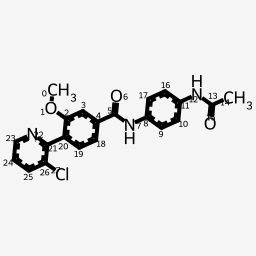 COc1cc(C(=O)Nc2ccc(NC(C)=O)cc2)ccc1-c1ncccc1Cl